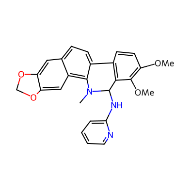 COc1ccc2c(c1OC)C(Nc1ccccn1)N(C)c1c-2ccc2cc3c(cc12)OCO3